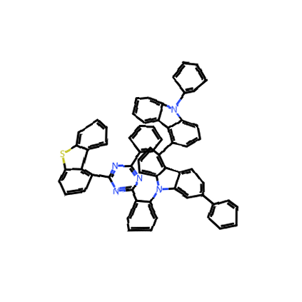 c1ccc(-c2ccc3c4c(-c5cccc6c5c5ccccc5n6-c5ccccc5)cccc4n(-c4ccccc4-c4nc(-c5ccccc5)nc(-c5cccc6sc7ccccc7c56)n4)c3c2)cc1